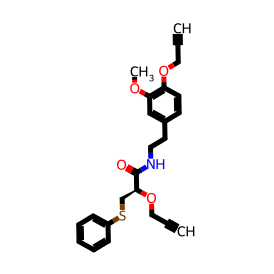 C#CCOc1ccc(CCNC(=O)[C@H](CSc2ccccc2)OCC#C)cc1OC